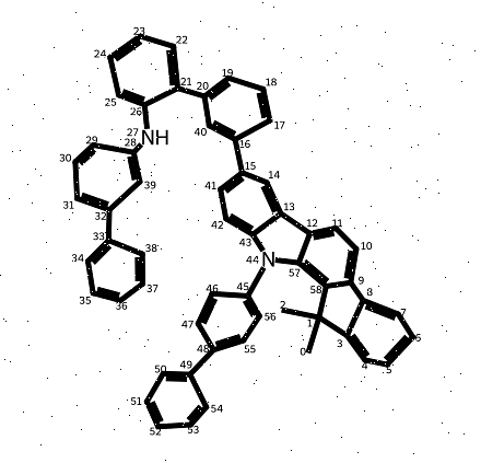 CC1(C)c2ccccc2-c2ccc3c4cc(-c5cccc(-c6ccccc6Nc6cccc(-c7ccccc7)c6)c5)ccc4n(-c4ccc(-c5ccccc5)cc4)c3c21